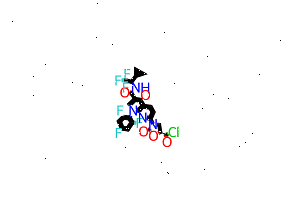 O=C(N[C@@H](C1CC1)C(F)(F)F)c1cn(-c2c(F)cc(F)cc2F)c2nc(N3C[C@H](C(=O)Cl)OC3=O)ccc2c1=O